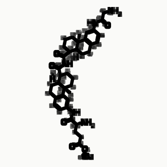 CC(C)(C)OC(=O)CC[C@H](N)C(=O)Nc1ccc2c(c1)[C@@]1(C)CCC[C@](C)(C(=O)NC(=O)[C@@]3(C)CCC[C@]4(C)c5cc(NC(=O)CN)ccc5CC[C@@H]34)[C@@H]1CC2